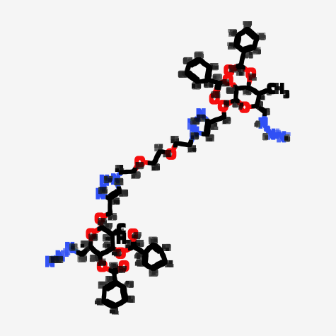 CC1[C@@H](CN=[N+]=[N-])O[C@@H](OCc2cn(CCOCCOCCn3cc(CO[C@@H]4O[C@H](CN=[N+]=[N-])C(OC(=O)c5ccccc5)[C@H](OC(=O)c5ccccc5)[C@@H]4C)nn3)nn2)[C@@H](OC(=O)c2ccccc2)[C@H]1OC(=O)c1ccccc1